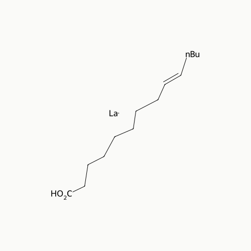 CCCCC=CCCCCCCCC(=O)O.[La]